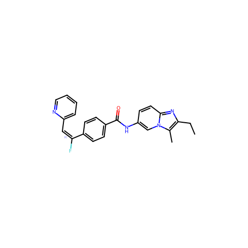 CCc1nc2ccc(NC(=O)c3ccc(/C(F)=C\c4ccccn4)cc3)cn2c1C